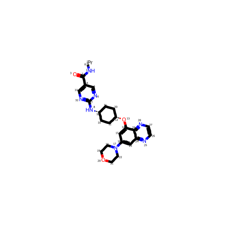 CC(C)NC(=O)c1cnc(N[C@H]2CC[C@@H](Oc3cc(N4CCOCC4)cc4nccnc34)CC2)nc1